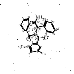 CC[C@H](c1cc(F)cc(F)c1)N(C(=O)c1ccccc1)[C@@H](C(N)=O)c1ccccc1